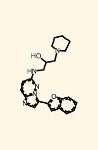 OC(CNc1ccc2ncc(-c3cc4ccccc4o3)n2n1)CN1CCCCC1